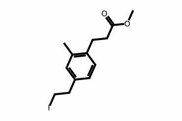 COC(=O)CCc1ccc(CCI)cc1C